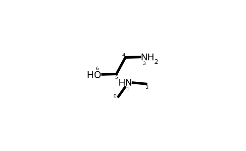 CNC.NCCO